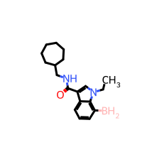 Bc1cccc2c(C(=O)NCC3CCCCCC3)cn(CC)c12